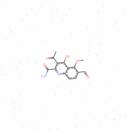 COc1c(C=O)ccc2nc(C(N)=O)c(C(C)=O)c(O)c12